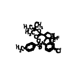 Cc1ccc(S(=O)(=O)N2c3ccc(Cl)cc3C3(C(F)(F)F)OCC(C(=O)OC(C)(C)C)C23)cc1